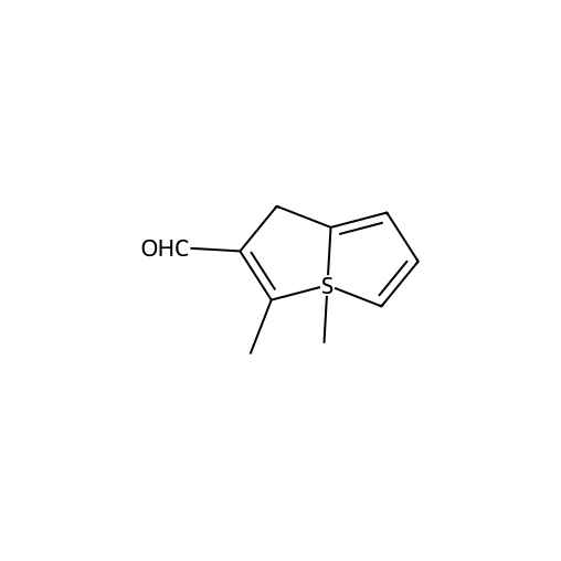 CC1=C(C=O)CC2=CC=CS21C